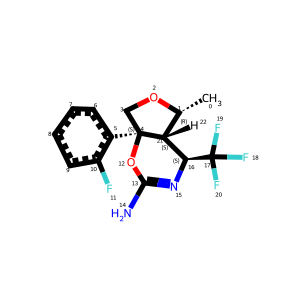 C[C@H]1OC[C@]2(c3ccccc3F)OC(N)=N[C@H](C(F)(F)F)[C@@H]12